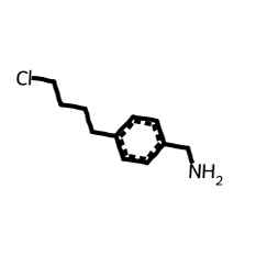 NCc1ccc(CCCCCl)cc1